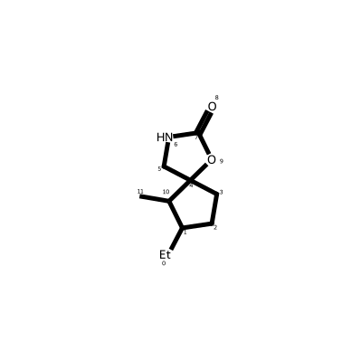 CCC1CCC2(CNC(=O)O2)C1C